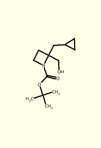 CC(C)(C)OC(=O)N1CCC1(CO)CC1CC1